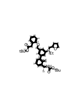 CCN(CC1CCCO1)c1cc(COc2ccccc2CC(=O)OC(C)(C)C)cc(-c2cccc([C@@H](C)NC(=O)OC(C)(C)C)c2F)c1